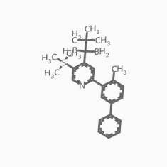 BC(B)(c1cc(-c2cc(-c3ccccc3)ccc2C)ncc1S(C)(C)C)C(C)(C)C